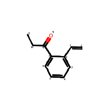 C=Cc1ccccc1C(=O)CC